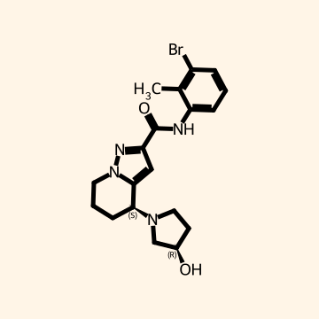 Cc1c(Br)cccc1NC(=O)c1cc2n(n1)CCC[C@@H]2N1CC[C@@H](O)C1